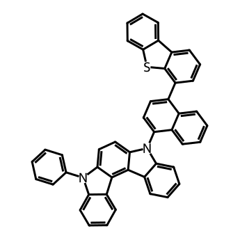 c1ccc(-n2c3ccccc3c3c4c5ccccc5n(-c5ccc(-c6cccc7c6sc6ccccc67)c6ccccc56)c4ccc32)cc1